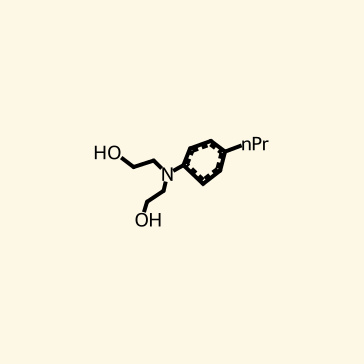 CCCc1ccc(N(CCO)CCO)cc1